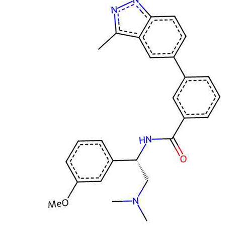 COc1cccc([C@@H](CN(C)C)NC(=O)c2cccc(-c3ccc4[nH]nc(C)c4c3)c2)c1